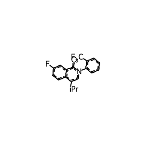 CC(C)c1cn(-c2ccccc2C(F)(F)F)c(=O)c2cc(F)ccc12